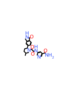 CC1CCC(c2ccc3c(c2)CNC3=O)N(C(=O)C(=O)Nc2cncc(C(N)=O)c2)C1